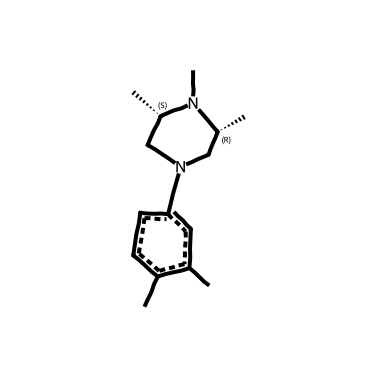 Cc1ccc(N2C[C@@H](C)N(C)[C@@H](C)C2)cc1C